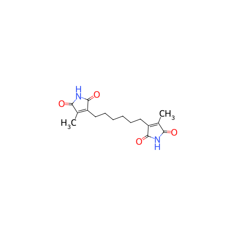 CC1=C(CCCCCCC2=C(C)C(=O)NC2=O)C(=O)NC1=O